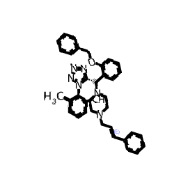 Cc1cccc(C)c1-n1nnnc1[C@H](c1ccccc1OCc1ccccc1)N1CCN(C/C=C/c2ccccc2)CC1